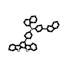 c1ccc2cc(-c3ccc(N(c4ccc(-c5cc6c7ccccc7oc6c6oc7ccccc7c56)cc4)c4cccc5ccccc45)cc3)ccc2c1